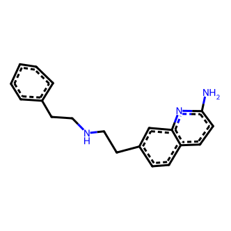 Nc1ccc2ccc(CCNCCc3ccccc3)cc2n1